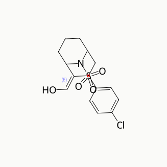 O=C1CC2CCCC(/C1=C\O)N2S(=O)(=O)c1ccc(Cl)cc1